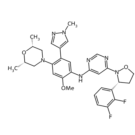 COc1cc(N2C[C@@H](C)O[C@@H](C)C2)c(-c2cnn(C)c2)cc1Nc1cc(N2OCC[C@@H]2c2cccc(F)c2F)ncn1